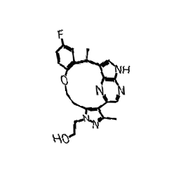 Cc1nn(CCO)c2c1-c1cnc3[nH]cc(c3n1)[C@H](C)c1cc(F)ccc1OCC2